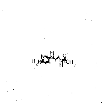 CC(=O)NCCNc1ccc(N)nc1